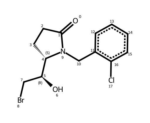 O=C1CC[C@@H]([C@@H](O)CBr)N1Cc1ccccc1Cl